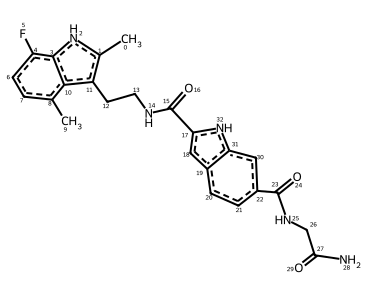 Cc1[nH]c2c(F)ccc(C)c2c1CCNC(=O)c1cc2ccc(C(=O)NCC(N)=O)cc2[nH]1